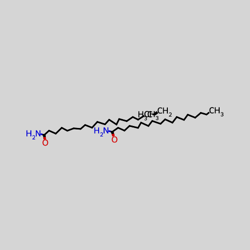 C=CC.CCCCCCCCCCCCCCCCCC(N)=O.CCCCCCCCCCCCCCCCCC(N)=O